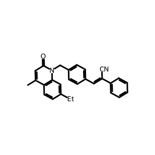 CCc1ccc2c(C)cc(=O)n(Cc3ccc(/C=C(\C#N)c4ccccc4)cc3)c2c1